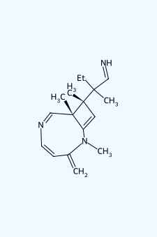 C=C1/C=C\N=C/[C@@]2(C)C(=C[C@@]2(C)C(C)(C=N)CC)N1C